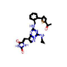 CC(=O)c1ccc(-c2ccccc2CNc2nc(NC3CC3)n3ncc(/C=C4\NC(=O)NC4=O)c3n2)s1